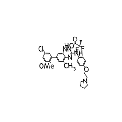 COc1ccc(Cl)cc1-c1cc(C)c2nc(Nc3ccc(OCCN4CCCC4)cc3)nnc2c1.O=C(O)C(F)(F)F